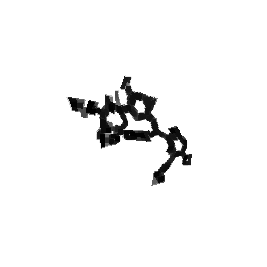 CN1C(N)=NC(C)(c2cc(C=C(F)c3cc(C#N)c(Cl)cn3)ccc2F)CS1(O)O